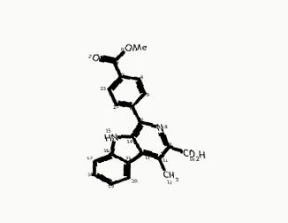 COC(=O)c1ccc(-c2nc(C(=O)O)c(C)c3c2[nH]c2ccccc23)cc1